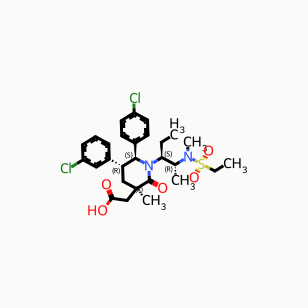 CC[C@@H]([C@@H](C)N(C)S(=O)(=O)CC)N1C(=O)[C@@](C)(CC(=O)O)C[C@H](c2cccc(Cl)c2)[C@H]1c1ccc(Cl)cc1